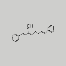 C#CC(C=Cc1ccccc1)=CCCC=Cc1ccccc1